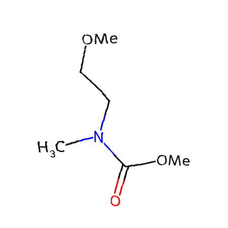 [CH2]OC(=O)N(C)CCOC